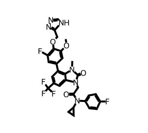 COc1cc(-c2cc(C(F)(F)F)cc3c2n(C)c(=O)n3CC(=O)N(c2ccc(F)cc2)C2CC2)cc(F)c1OCc1nnc[nH]1